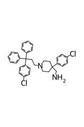 NCC1(c2ccc(Cl)cc2)CCN(CCC(c2ccccc2)(c2ccccc2)c2ccc(Cl)cc2)CC1